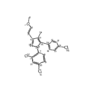 COC=Cc1nn(-c2ccc(Cl)cc2Cl)c(-c2ccc(Cl)cc2)c1C